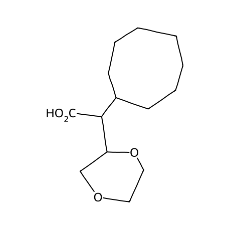 O=C(O)C(C1CCCCCCC1)C1COCCO1